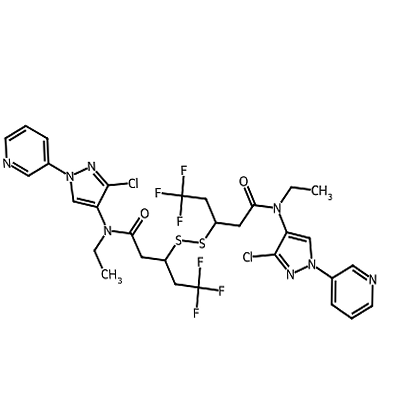 CCN(C(=O)CC(CC(F)(F)F)SSC(CC(=O)N(CC)c1cn(-c2cccnc2)nc1Cl)CC(F)(F)F)c1cn(-c2cccnc2)nc1Cl